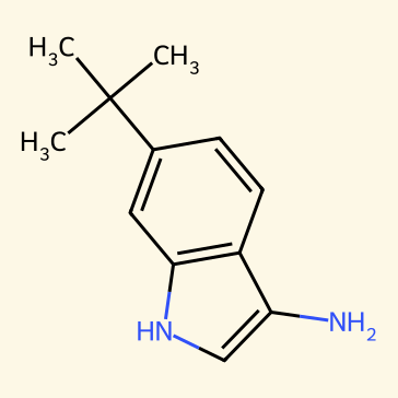 CC(C)(C)c1ccc2c(N)c[nH]c2c1